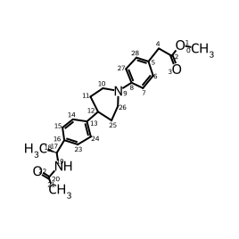 COC(=O)Cc1ccc(N2CCC(c3ccc([C@H](C)NC(C)=O)cc3)CC2)cc1